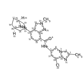 Cc1cn2cc(NC(=O)c3ccc(N4C[C@H]5CC[C@@H](C4)N5)c4cn(C)nc34)cc(Cl)c2n1